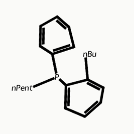 CCCCCP(c1ccccc1)c1ccccc1CCCC